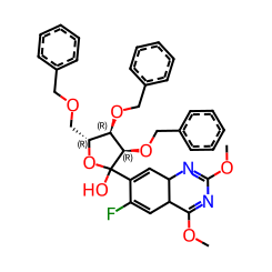 COC1=NC2C=C(C3(O)O[C@H](COCc4ccccc4)[C@@H](OCc4ccccc4)[C@H]3OCc3ccccc3)C(F)=CC2C(OC)=N1